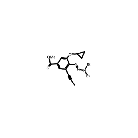 CC#Cc1cc(C(=O)OC)cc(OC2CC2)c1N=NN(CC)CC